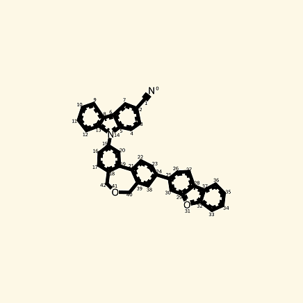 N#Cc1ccc2c(c1)c1ccccc1n2-c1ccc2c(c1)-c1ccc(-c3ccc4c(c3)oc3ccccc34)cc1COC2